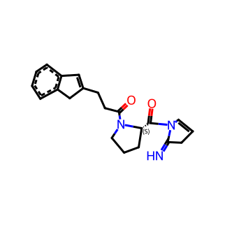 N=C1CC=CN1C(=O)[C@@H]1CCCN1C(=O)CCC1=Cc2ccccc2C1